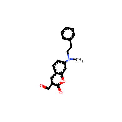 CN(CCc1ccccc1)c1ccc2cc(C=O)c(=O)oc2c1